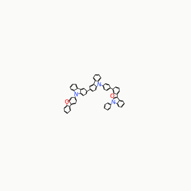 c1ccc(-n2c3ccccc3c3c4cccc(-c5ccc(-n6c7ccccc7c7cc(-c8ccc9c(c8)c8ccccc8n9-c8ccc9c(c8)oc8ccccc89)ccc76)cc5)c4oc32)cc1